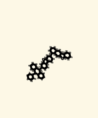 c1ccc(-c2c3ccccc3c(-c3ccc4c(c3)oc3cc(-c5cccc6cc7c(cc56)oc5ccccc57)ccc34)c3ccccc23)cc1